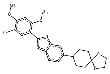 COc1cc(OC)c(-c2cn3ccc(C4CCC5(CC4)OCCO5)cc3n2)cc1Cl